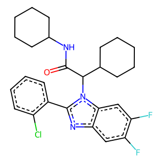 O=C(NC1CCCCC1)C(C1CCCCC1)n1c(-c2ccccc2Cl)nc2cc(F)c(F)cc21